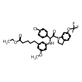 CCOC(=O)CCCCc1cc(NC(C(=O)N2CCc3ccc(OC(F)(F)F)cc32)c2ccc(Cl)cc2)cc(OC)c1